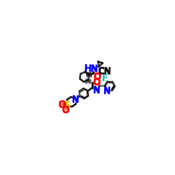 N#CC1(NC(=O)[C@@H]2CCCC[C@H]2c2oc(-c3ncccc3F)nc2-c2ccc(N3CCS(=O)(=O)CC3)cc2)CC1